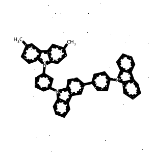 Cc1ccc2c(c1)c1cc(C)ccc1n2-c1cccc(-n2c3ccccc3c3cc(-c4ccc(-n5c6ccccc6c6ccccc65)cc4)ccc32)c1